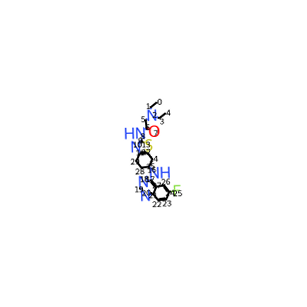 CCN(CC)CC(=O)Nc1nc2c(s1)CC(Nc1ncnc3ccc(F)cc13)CC2